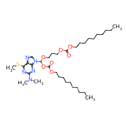 CCCCCCCCCCOC(=O)OCCCOC(OC(=O)OCCCCCCCCCC)n1cnc2c(SC)nc(N(C)C)nc21